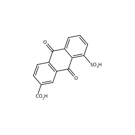 O=C(O)c1ccc2c(c1)C(=O)c1c(cccc1S(=O)(=O)O)C2=O